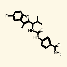 Cc1c(C(NC(=O)Nc2ccc(C(N)=O)cc2)C(C)C)oc2ccc(F)cc12